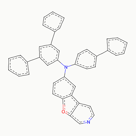 c1ccc(-c2ccc(N(c3cc(-c4ccccc4)cc(-c4ccccc4)c3)c3ccc4oc5cnccc5c4c3)cc2)cc1